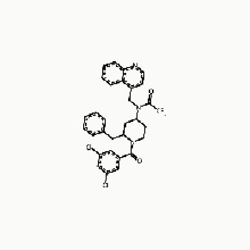 O=C(c1cc(Cl)cc(Cl)c1)N1CCC(N(Cc2ccnc3ccccc23)C(=O)C(F)(F)F)CC1Cc1ccccc1